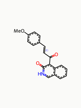 COc1ccc(/C=C/C(=O)c2c(=O)[nH]cc3ccccc23)cc1